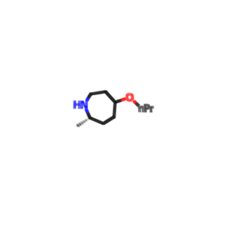 CCCOC1CCN[C@@H](C)CC1